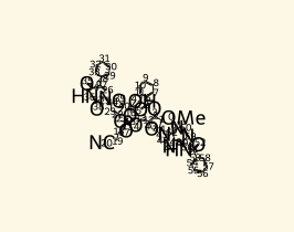 CO[C@H]1C(OC(=O)c2ccccc2)C(COP(=O)(OCCC#N)OC2CC(n3cc(-c4ccccc4)c(=O)[nH]c3=O)O[C@@H]2CO)O[C@H]1n1cnc2c(NC(=O)c3ccccc3)ncnc21